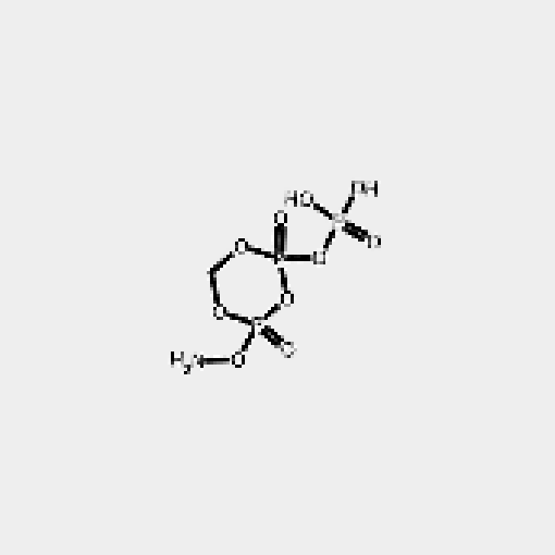 NOP1(=O)OCOP(=O)(OP(=O)(O)O)O1